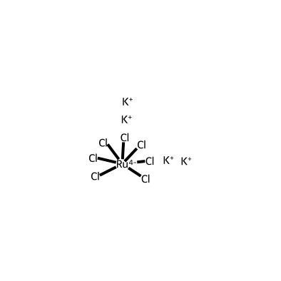 [Cl][Ru-4]([Cl])([Cl])([Cl])([Cl])([Cl])[Cl].[K+].[K+].[K+].[K+]